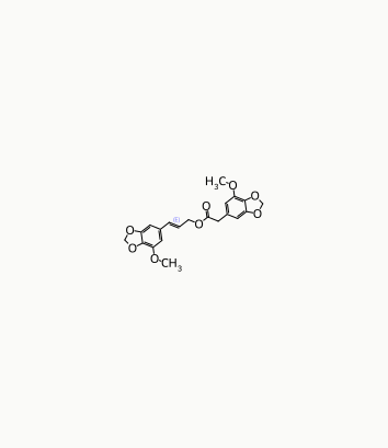 COc1cc(/C=C/COC(=O)Cc2cc(OC)c3c(c2)OCO3)cc2c1OCO2